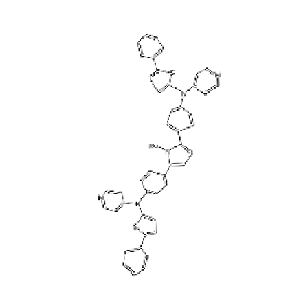 CC(C)(C)n1c(-c2ccc(N(c3ccncc3)c3ccc(-c4ccccc4)s3)cc2)ccc1-c1ccc(N(c2ccncc2)c2ccc(-c3ccccc3)s2)cc1